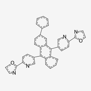 c1ccc(-c2ccc3c(-c4ccc(-c5ncco5)nc4)c4ccccc4c(-c4ccc(-c5ncco5)nc4)c3c2)cc1